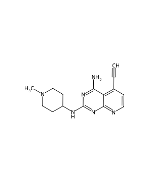 C#Cc1ccnc2nc(NC3CCN(C)CC3)nc(N)c12